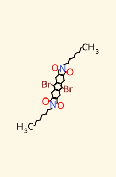 CCCCCCCCN1C(=O)C2=C(Cc3c(Br)c4c(c(Br)c3C2)CC2=C(C4)C(=O)N(CCCCCCCC)C2=O)C1=O